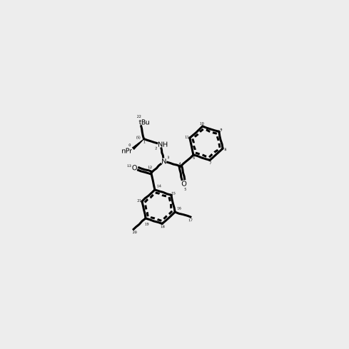 CCC[C@H](NN(C(=O)c1ccccc1)C(=O)c1cc(C)cc(C)c1)C(C)(C)C